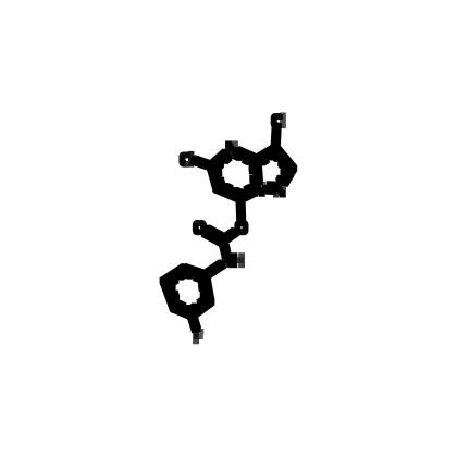 O=C(Nc1cccc(F)c1)Oc1cc(Cl)nc2c(Cl)cnn12